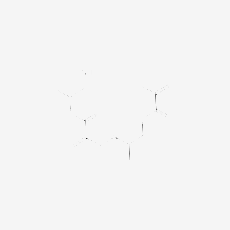 C=C(C)C(=O)OCC(C)NCC(=C)C(=O)OC(C)CN